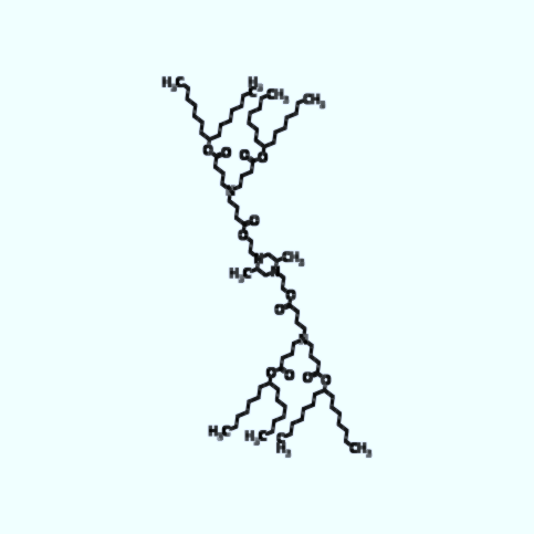 CCCCCCCC(CCCCCCC)OC(=O)CCCN(CCCC(=O)OCCN1CC(C)N(CCOC(=O)CCCN(CCCC(=O)OC(CCCCCCC)CCCCCCC)CCCC(=O)OC(CCCCCCC)CCCCCCC)CC1C)CCCC(=O)OC(CCCCCCC)CCCCCCC